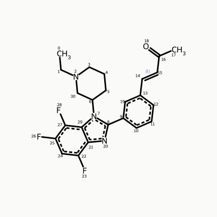 CCN1CCCC(n2c(-c3cccc(/C=C/C(C)=O)c3)nc3c(F)cc(F)c(F)c32)C1